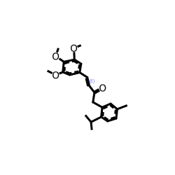 COc1cc(/C=C/C(=O)Cc2cc(C)ccc2C(C)C)cc(OC)c1OC